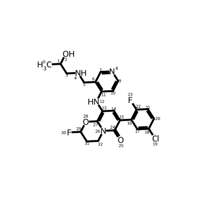 CC(O)CNCc1cnccc1Nc1cc(-c2cc(Cl)ccc2F)c(=O)n2c1OC(F)CC2